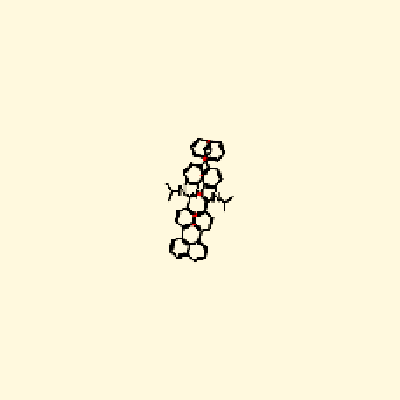 CC(C)n1c(-c2ccc(-c3cccc4cccc(-c5ccc(-c6nc7cc(-c8ccccc8)ccc7n6C(C)C)cc5)c34)cc2)nc2cc(-c3ccccc3)ccc21